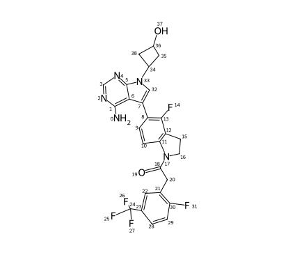 Nc1ncnc2c1c(-c1ccc3c(c1F)CCN3C(=O)Cc1cc(C(F)(F)F)ccc1F)cn2C1CC(O)C1